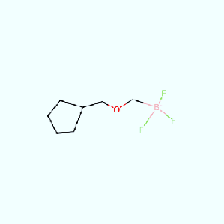 F[B-](F)(F)COCC1CCCC1